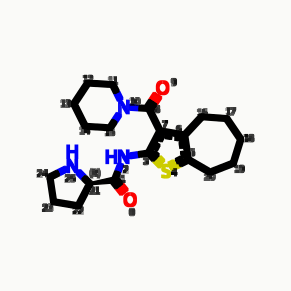 O=C(Nc1sc2c(c1C(=O)N1CCCCC1)CCCCC2)[C@H]1CCCN1